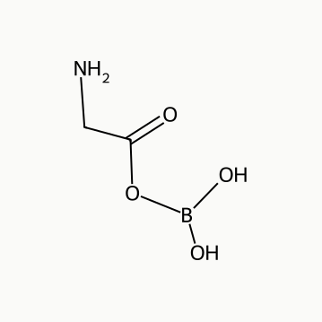 NCC(=O)OB(O)O